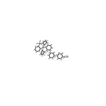 CC1(C)c2ccccc2C2(c3ccccc3-c3c(-c4cccc(-c5ccc(C#N)cc5)c4)cccc32)c2ccccc21